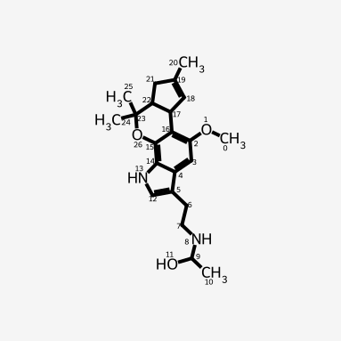 COc1cc2c(CCNC(C)O)c[nH]c2c2c1C1C=C(C)CC1C(C)(C)O2